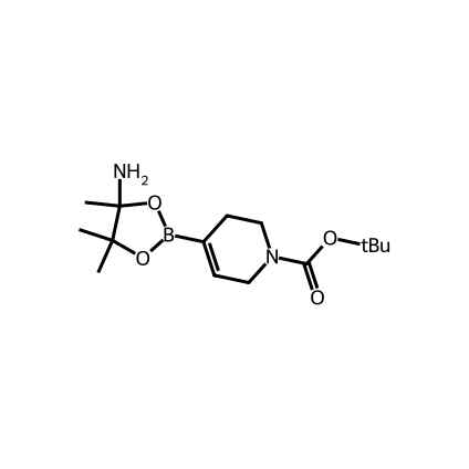 CC(C)(C)OC(=O)N1CC=C(B2OC(C)(C)C(C)(N)O2)CC1